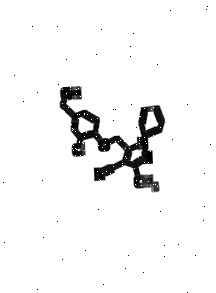 Cc1nn(-c2ccccc2)c(COc2ccc(CO)cc2Cl)c1C#N